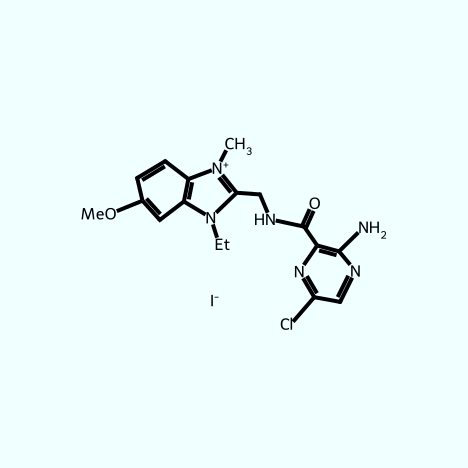 CCn1c(CNC(=O)c2nc(Cl)cnc2N)[n+](C)c2ccc(OC)cc21.[I-]